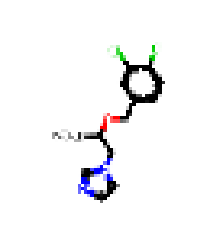 CCCCCCCCC(Cn1ccnc1)OCc1ccc(Cl)c(Cl)c1